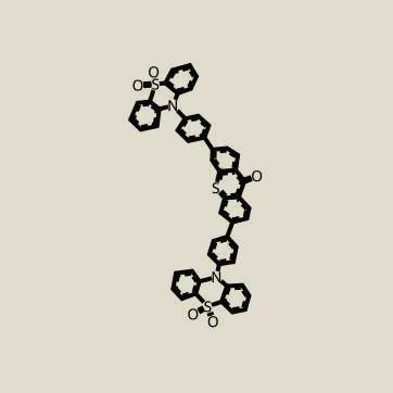 O=c1c2ccc(-c3ccc(N4c5ccccc5S(=O)(=O)c5ccccc54)cc3)cc2sc2cc(-c3ccc(N4c5ccccc5S(=O)(=O)c5ccccc54)cc3)ccc12